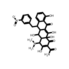 CN(C)C1C(O)=C(C(N)=O)C(=O)C2(O)C(O)=C3C(=O)c4c(O)cccc4C(Cc4cccc([N+](=O)[O-])c4)C3C(O)C12